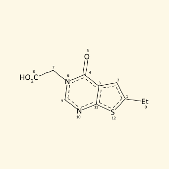 CCc1cc2c(=O)n(CC(=O)O)cnc2s1